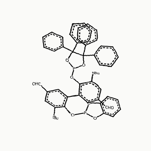 CC(C)(C)c1cc(C=O)cc(-c2cc(C=O)cc(C(C)(C)C)c2OP2OC(c3ccccc3)(c3ccccc3)C(c3ccccc3)(c3ccccc3)O2)c1OP1Oc2ccccc2O1